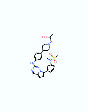 CC(O)CN1CCC(c2ccc(Nc3ncc4ccc(-c5cccc(N(C)S(C)(=O)=O)c5)n4n3)cc2)CC1